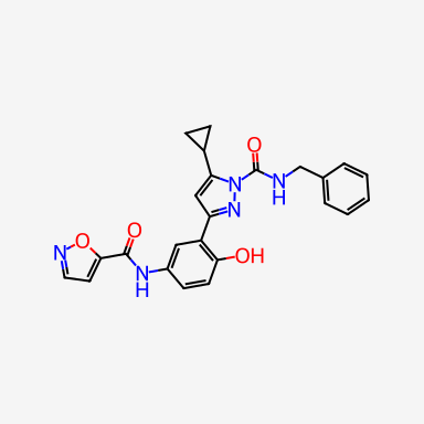 O=C(Nc1ccc(O)c(-c2cc(C3CC3)n(C(=O)NCc3ccccc3)n2)c1)c1ccno1